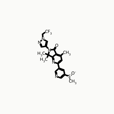 Cc1cc(-c2cncc([S@+](C)[O-])c2)nc2c1C(=O)N(c1cnn(CC(F)(F)F)c1)C2(C)C